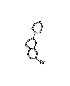 Brc1ccc2ccc(-c3ccccc3)cc2c1